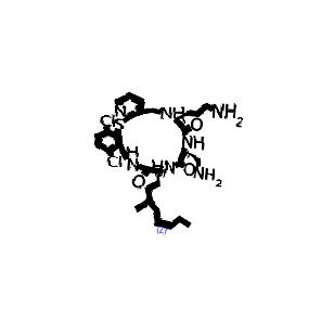 CC/C=C\CC(C)CC[C@@H]1NC(=O)[C@H](CN)NC(=O)[C@H](CCCN)NCc2cccnc2Sc2c(Cl)ccc(Cl)c2CNC1=O